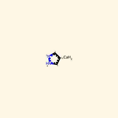 [CaH2].c1cn[nH]c1